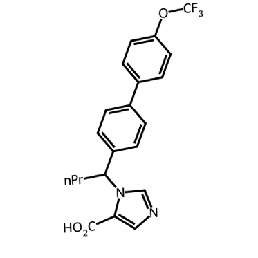 CCCC(c1ccc(-c2ccc(OC(F)(F)F)cc2)cc1)n1cncc1C(=O)O